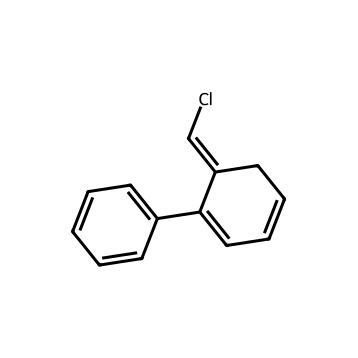 ClC=C1CC=CC=C1c1ccccc1